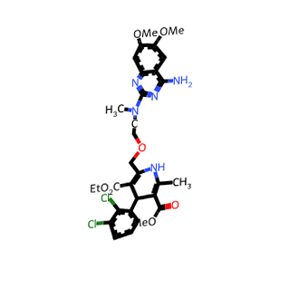 CCOC(=O)C1=C(COCCN(C)c2nc(N)c3cc(OC)c(OC)cc3n2)NC(C)=C(C(=O)OC)C1c1cccc(Cl)c1Cl